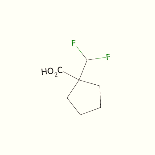 O=C(O)C1(C(F)F)CCCC1